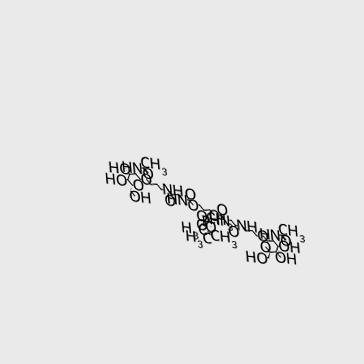 CC(=O)N[C@H]1[C@H](OCCCNC(=O)CNC(=O)OCC(COC(=O)NCC(=O)NCCCO[C@@H]2O[C@H](CO)[C@H](O)[C@H](O)[C@H]2NC(C)=O)OP(C)(=O)OC(C)(C)C)O[C@H](CO)[C@H](O)[C@@H]1O